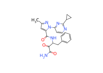 Cc1cc(C(=O)NC(Cc2ccccc2)C(=O)C(N)=O)n(-c2ccnc(C3CC3)n2)n1